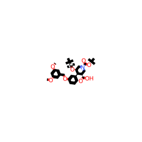 COc1cc(COc2cccc([C@@H]3[C@@H](C(=O)O)CN(C(=O)OC(C)(C)C)C[C@H]3O[Si](C)(C)C(C)(C)C)c2)cc(OC)c1